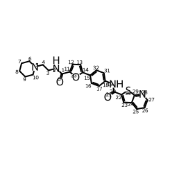 O=C(NCCN1CCCCC1)c1ccc(-c2ccc(NC(=O)c3cc4cccnc4s3)cc2)o1